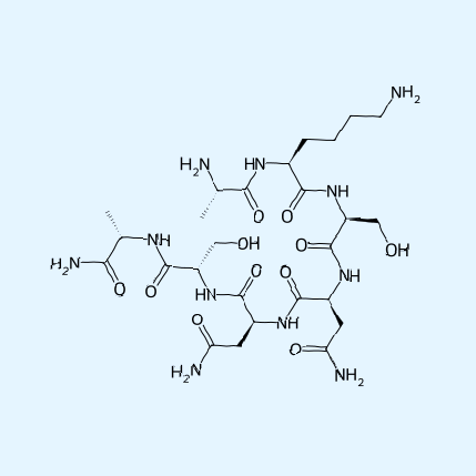 C[C@H](N)C(=O)N[C@@H](CCCCN)C(=O)N[C@@H](CO)C(=O)N[C@@H](CC(N)=O)C(=O)N[C@@H](CC(N)=O)C(=O)N[C@@H](CO)C(=O)N[C@@H](C)C(N)=O